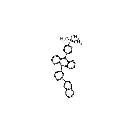 C[Si](C)(C)c1ccc(-c2c3ccccc3c(-c3cccc(-c4ccc5ccccc5c4)c3)c3ccccc23)cc1